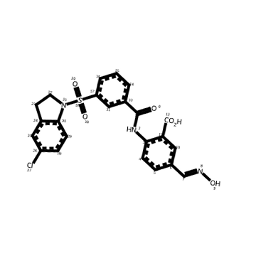 O=C(Nc1ccc(/C=N/O)cc1C(=O)O)c1cccc(S(=O)(=O)N2CCc3cc(Cl)ccc32)c1